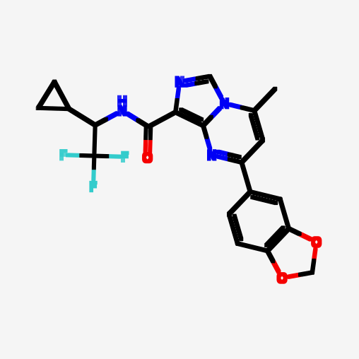 Cc1cc(-c2ccc3c(c2)OCO3)nc2c(C(=O)NC(C3CC3)C(F)(F)F)ncn12